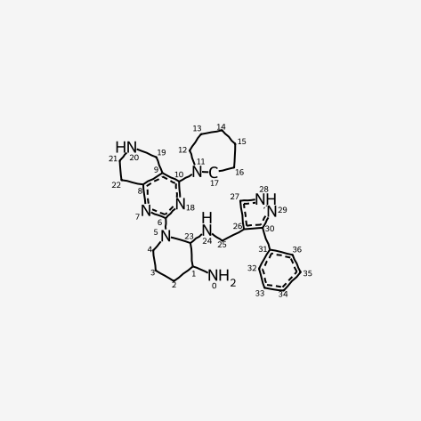 NC1CCCN(c2nc3c(c(N4CCCCCC4)n2)CNCC3)C1NCc1c[nH]nc1-c1ccccc1